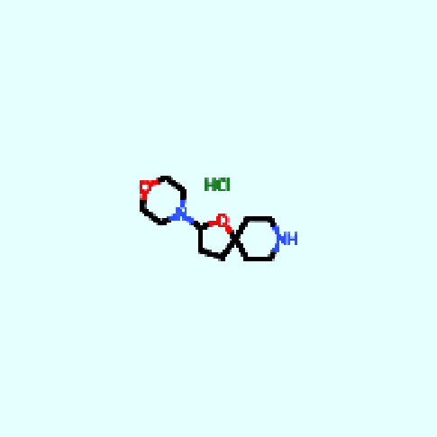 C1CC2(CCN1)CCC(N1CCOCC1)O2.Cl